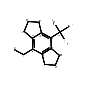 CCc1c2c(c(C(F)(F)F)c3c1CCC3)CCC2